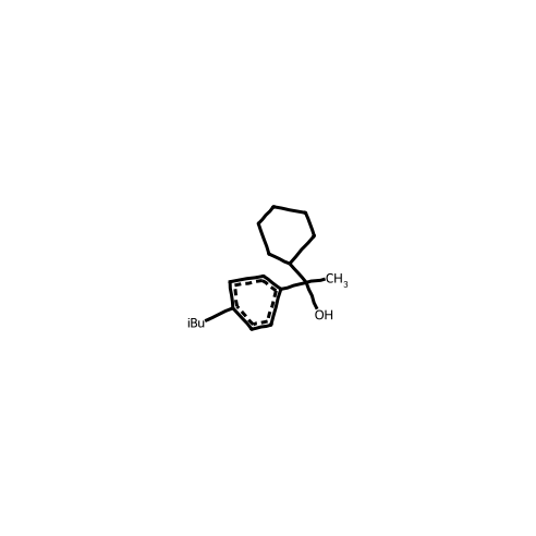 CCC(C)c1ccc(C(C)(O)C2CCCCC2)cc1